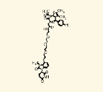 Cc1sc2c(c1C)C(c1ccc(Cl)cc1)=N[C@@H](CC(=O)NCCOCCOCCOCCCc1cccc3c1n(C)c(=O)n3C1CCC(=O)NC1=O)c1nnc(C)n1-2